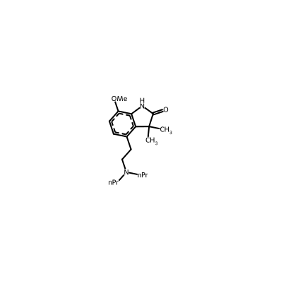 CCCN(CCC)CCc1ccc(OC)c2c1C(C)(C)C(=O)N2